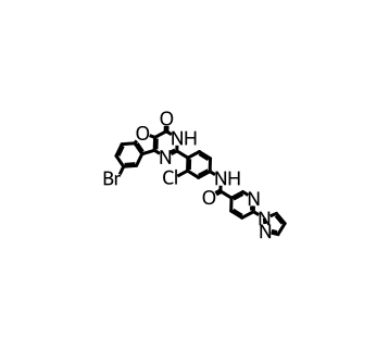 O=C(Nc1ccc(-c2nc3c(oc4ccc(Br)cc43)c(=O)[nH]2)c(Cl)c1)c1ccc(-n2cccn2)nc1